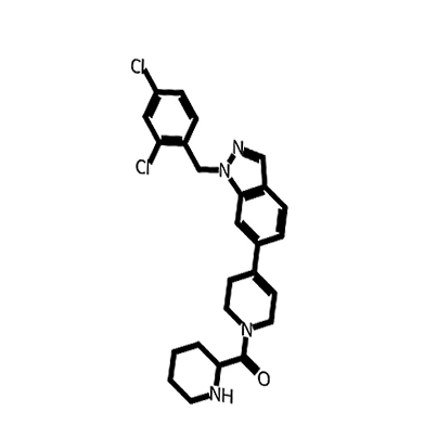 O=C(C1CCCCN1)N1CC=C(c2ccc3cnn(Cc4ccc(Cl)cc4Cl)c3c2)CC1